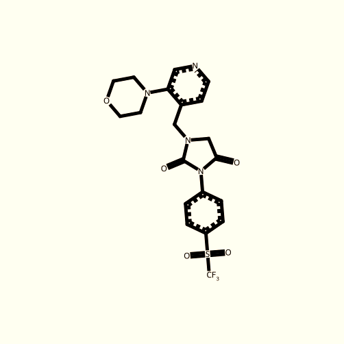 O=C1CN(Cc2ccncc2N2CCOCC2)C(=O)N1c1ccc(S(=O)(=O)C(F)(F)F)cc1